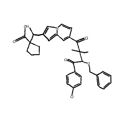 CC(c1cc2cc(C(=O)C(C)(C)C(OCc3ccccc3)C(=O)c3ccc(Cl)cc3)ccn2c1)C1(C(=O)O)CCCC1